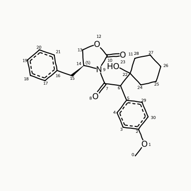 COc1ccc(C(C(=O)N2C(=O)OC[C@@H]2Cc2ccccc2)C2(O)CCCCC2)cc1